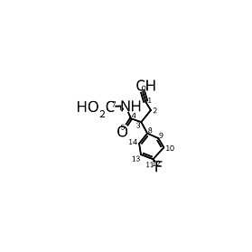 C#CCC(C(=O)NC(=O)O)c1ccc(F)cc1